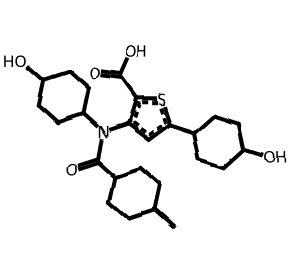 CC1CCC(C(=O)N(c2cc(C3CCC(O)CC3)sc2C(=O)O)C2CCC(O)CC2)CC1